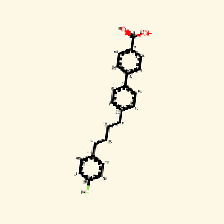 O=C(O)c1ccc(-c2ccc(CCCCc3ccc(F)cc3)cc2)cc1